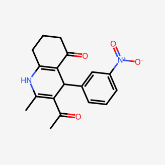 CC(=O)C1=C(C)NC2=C(C(=O)CCC2)C1c1cccc([N+](=O)[O-])c1